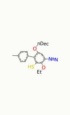 CCCCCCCCCCOc1cc([N+]#N)c(OCC)c(S)c1-c1ccc(C)cc1